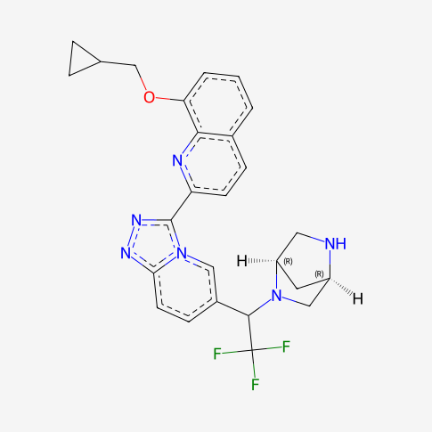 FC(F)(F)C(c1ccc2nnc(-c3ccc4cccc(OCC5CC5)c4n3)n2c1)N1C[C@H]2C[C@@H]1CN2